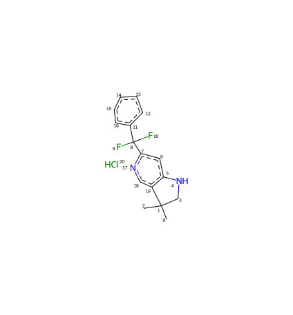 CC1(C)CNc2cc(C(F)(F)c3ccccc3)ncc21.Cl